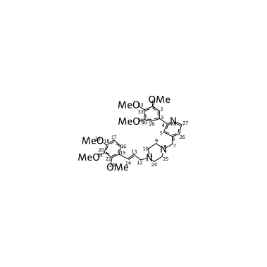 COc1cc(-c2cc(CN3CCN(CC=Cc4ccc(OC)c(OC)c4OC)CC3)ccn2)cc(OC)c1OC